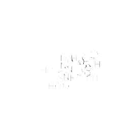 COc1cc(F)c(-n2c(=O)[nH]c3c(C)cc(C(=O)O)nc32)cc1S(=O)(=O)C(C)(C)c1ccccc1